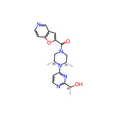 C[C@@H]1CN(C(=O)c2cc3cnccc3o2)C[C@H](C)N1c1ccnc([C@@H](C)O)n1